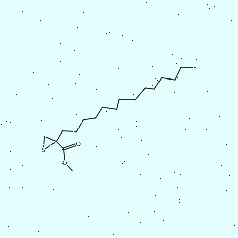 CCCCCCCCCCCCCCC1(C(=O)OC)CS1